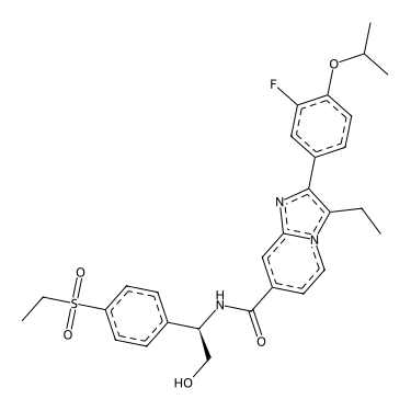 CCc1c(-c2ccc(OC(C)C)c(F)c2)nc2cc(C(=O)N[C@@H](CO)c3ccc(S(=O)(=O)CC)cc3)ccn12